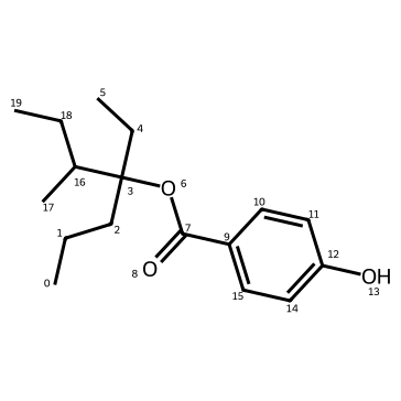 CCCC(CC)(OC(=O)c1ccc(O)cc1)C(C)CC